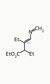 C=N/C=C(\CC)C(CC)C(=O)OCC